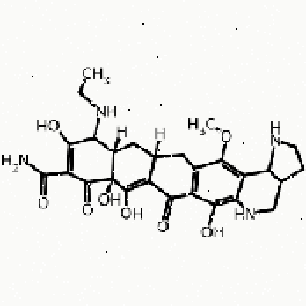 CCN[C@@H]1C(O)=C(C(N)=O)C(=O)[C@@]2(O)C(O)=C3C(=O)c4c(O)c5c(c(OC)c4C[C@H]3C[C@@H]12)C1NCCC1CN5